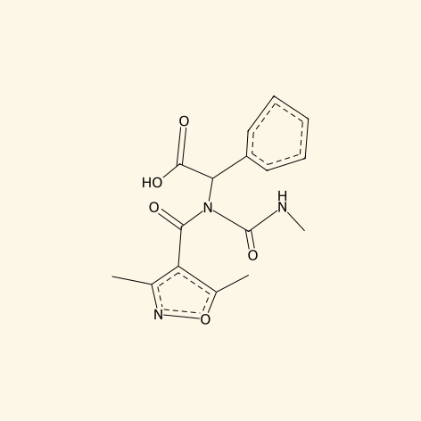 CNC(=O)N(C(=O)c1c(C)noc1C)C(C(=O)O)c1ccccc1